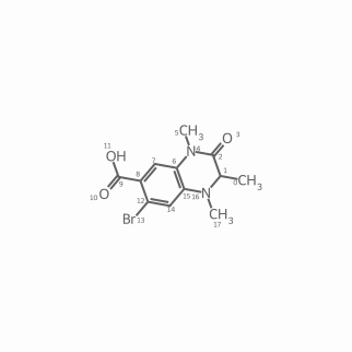 CC1C(=O)N(C)c2cc(C(=O)O)c(Br)cc2N1C